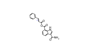 NC(=O)c1c[nH]c2c(C(=O)OC(=O)/C=C/c3ccccc3)cccc12